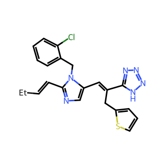 CCC=Cc1ncc(/C=C(\Cc2cccs2)c2nnn[nH]2)n1Cc1ccccc1Cl